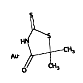 CC1(C)SC(=S)NC1=O.[Au]